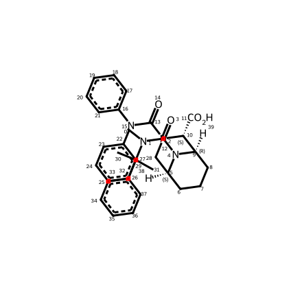 CN(C(=O)N1[C@H]2CCC[C@@H]1[C@@H](C(=O)O)N(C(=O)N(c1ccccc1)c1ccccc1)C2)C(C)(C)c1ccccc1